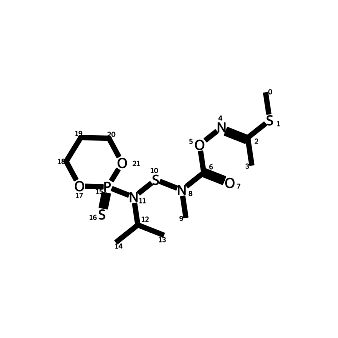 CS/C(C)=N/OC(=O)N(C)SN(C(C)C)P1(=S)OCCCO1